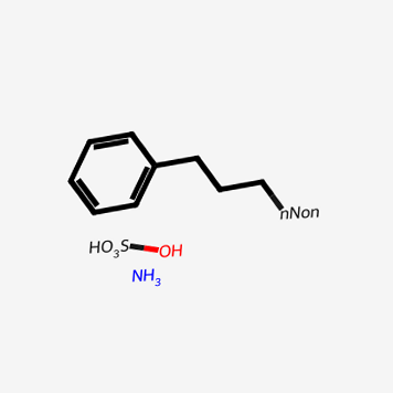 CCCCCCCCCCCCc1ccccc1.N.O=S(=O)(O)O